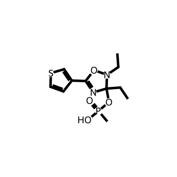 CCN1OC(c2ccsc2)=NC1(CC)OP(C)(=O)O